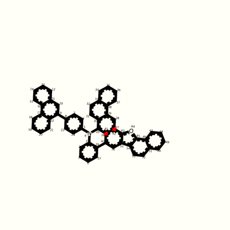 c1ccc(N(c2ccc(-c3cc4ccccc4c4ccccc34)cc2)c2cccc3c2ccc2ccccc23)c(-c2ccc3oc4c5ccccc5ccc4c3c2)c1